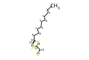 CCCCCCCCCCC1=CSC(C=S)S1